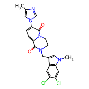 Cc1cn(-c2ccc3n(c2=O)CCN(Cc2cn(C)c4cc(Cl)c(Cl)cc24)C3=O)cn1